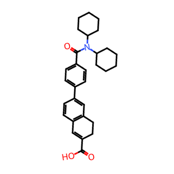 O=C(O)C1=Cc2ccc(-c3ccc(C(=O)N(C4CCCCC4)C4CCCCC4)cc3)cc2CC1